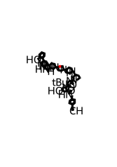 C#Cc1ccc(CNC(=O)[C@@H]2C[C@@H](O)CN2C(=O)[C@@H](NC(=O)N2CCC[C@@H](CN3CCC(N4CCC(N5CCN6c7cc(-c8ccccc8O)nnc7NC[C@H]6C5)CC4)CC3)C2)C(C)(C)C)cc1